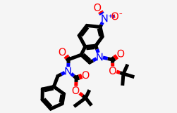 CC(C)(C)OC(=O)N(Cc1ccccc1)C(=O)c1cn(C(=O)OC(C)(C)C)c2cc([N+](=O)[O-])ccc12